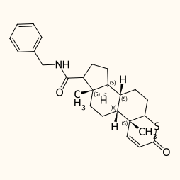 C[C@]12C=CC(=O)SC1CC[C@@H]1[C@H]2CC[C@]2(C)C(C(=O)NCc3ccccc3)CC[C@@H]12